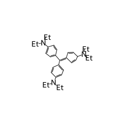 CCN(CC)c1ccc(C(=C2C=CC(N(CC)CC)C=C2)c2ccc(N(CC)CC)cc2)cc1